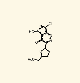 CC(=O)OCC1[CH][CH]C(n2nnc3c(Cl)nn(O)c3c2=O)O1